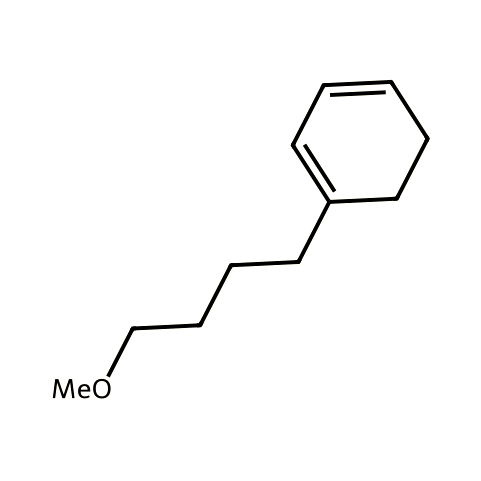 COCCCCC1=CC=CCC1